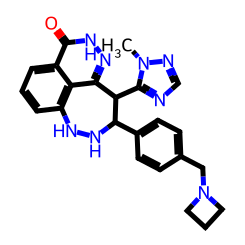 Cn1ncnc1C1c2n[nH]c(=O)c3cccc(c23)NNC1c1ccc(CN2CCC2)cc1